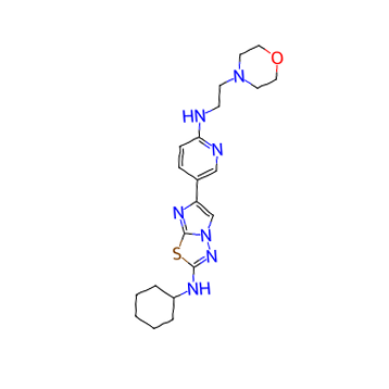 c1cc(NCCN2CCOCC2)ncc1-c1cn2nc(NC3CCCCC3)sc2n1